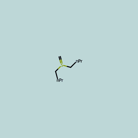 C=S(CCCC)CCCC